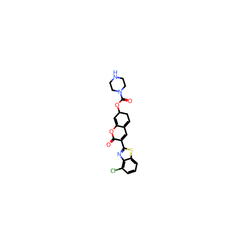 O=C(OC1C=c2oc(=O)c(-c3nc4c(Cl)cccc4s3)cc2=CC1)N1CCNCC1